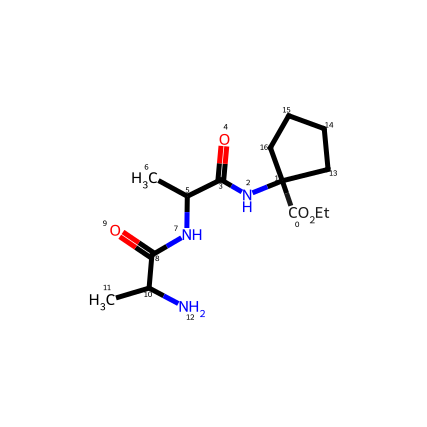 CCOC(=O)C1(NC(=O)C(C)NC(=O)C(C)N)CCCC1